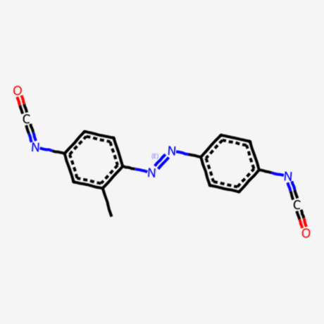 Cc1cc(N=C=O)ccc1/N=N/c1ccc(N=C=O)cc1